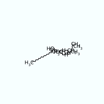 CCCCCCCCCCCCCCCC(=O)OC(CO)CO[C@H]1CC[C@@]2(C)C(=CC[C@H]3[C@@H]4CC[C@H]([C@H](C)CCCC(C)C)[C@@]4(C)CC[C@@H]32)C1